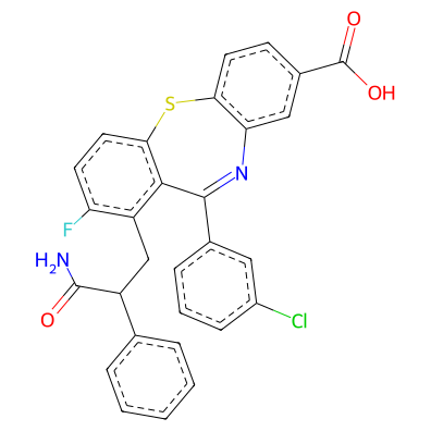 NC(=O)C(Cc1c(F)ccc2c1C(c1cccc(Cl)c1)=Nc1cc(C(=O)O)ccc1S2)c1ccccc1